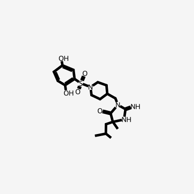 CC(C)CC1(C)NC(=N)N(CC2CCN(S(=O)(=O)c3cc(O)ccc3O)CC2)C1=O